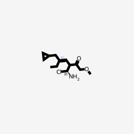 CC/C(=C\C(C(=O)COC)[C@H](N)Cl)CC1CC1